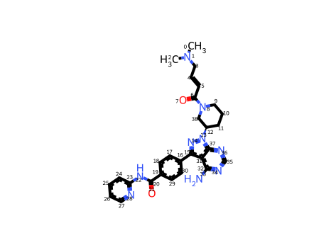 CN(C)C/C=C/C(=O)N1CCC[C@@H](n2nc(-c3ccc(C(=O)Nc4ccccn4)cc3)c3c(N)ncnc32)C1